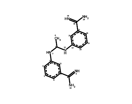 CC(Nc1cccc(C(=N)N)c1)Nc1cccc(C(=N)N)c1